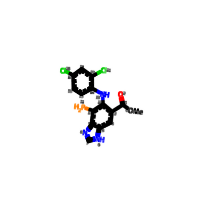 COC(=O)c1cc2[nH]cnc2c(P)c1Nc1ccc(Cl)cc1Cl